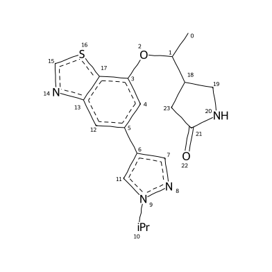 CC(Oc1cc(-c2cnn(C(C)C)c2)cc2ncsc12)C1CNC(=O)C1